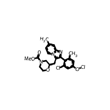 COC(=O)N1CCOC(Cc2c(-c3c(C)cc(OCl)cc3Cl)nc3cc(C)ccn23)C1